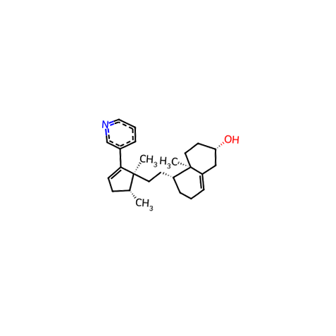 C[C@@H]1CC=C(c2cccnc2)[C@@]1(C)CC[C@H]1CCC=C2C[C@@H](O)CC[C@@]21C